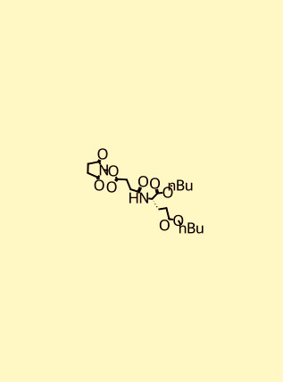 CCCCOC(=O)CC[C@H](NC(=O)CCC(=O)ON1C(=O)CCC1=O)C(=O)OCCCC